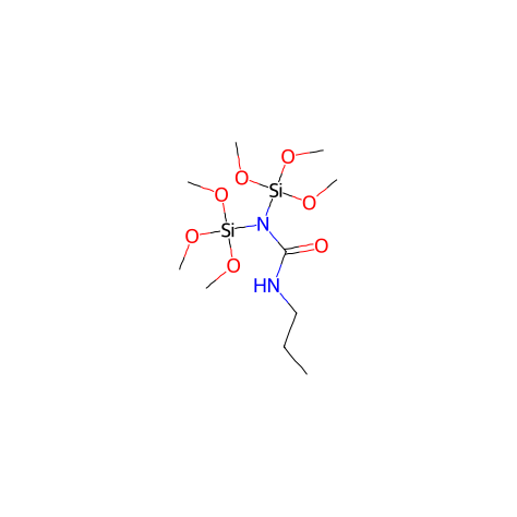 CCCNC(=O)N([Si](OC)(OC)OC)[Si](OC)(OC)OC